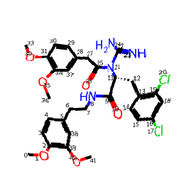 COc1ccc(CCNC(=O)[C@@H](Cc2ccc(Cl)cc2Cl)N(C(=N)N)C(=O)Cc2ccc(OC)c(OC)c2)cc1OC